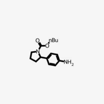 CCCCOC(=O)N1CCCC1c1ccc(N)cc1